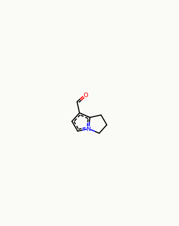 O=Cc1ccn2c1CCC2